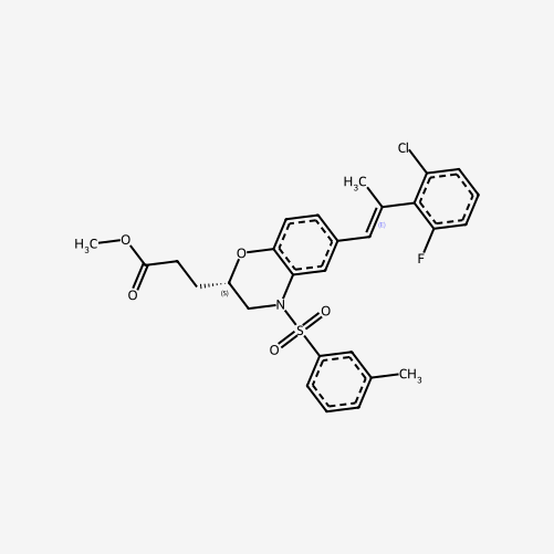 COC(=O)CC[C@H]1CN(S(=O)(=O)c2cccc(C)c2)c2cc(/C=C(\C)c3c(F)cccc3Cl)ccc2O1